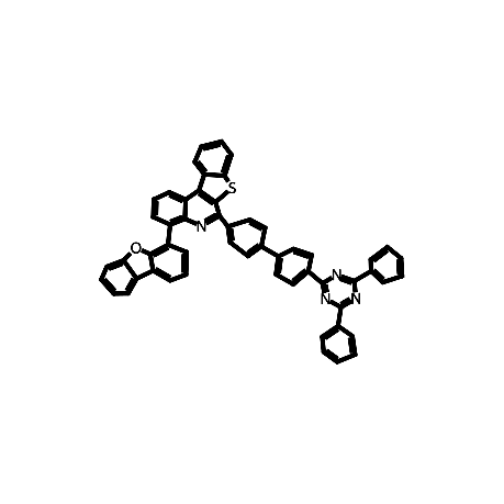 c1ccc(-c2nc(-c3ccccc3)nc(-c3ccc(-c4ccc(-c5nc6c(-c7cccc8c7oc7ccccc78)cccc6c6c5sc5ccccc56)cc4)cc3)n2)cc1